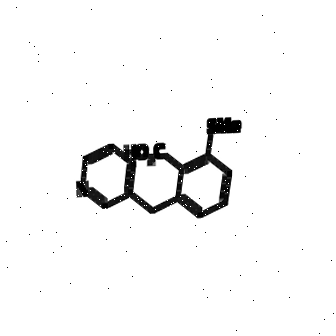 CSc1cccc(Cc2cccnc2)c1C(=O)O